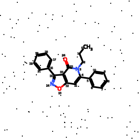 CCCn1c(-c2ccccc2)cc2onc(-c3ccccc3)c2c1=O